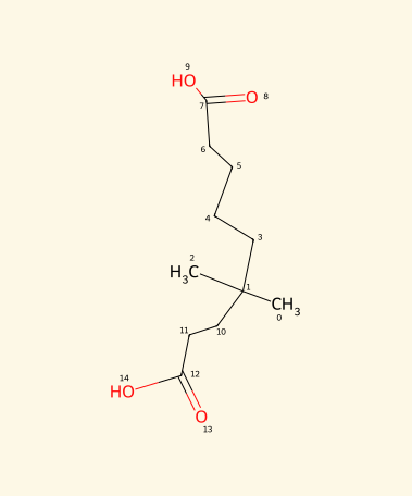 CC(C)(CCCCC(=O)O)CCC(=O)O